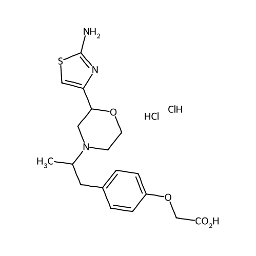 CC(Cc1ccc(OCC(=O)O)cc1)N1CCOC(c2csc(N)n2)C1.Cl.Cl